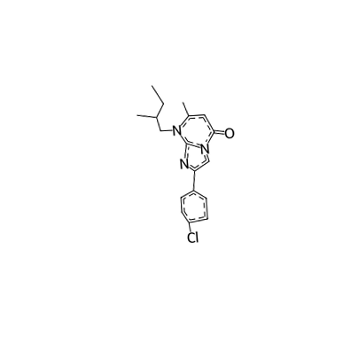 CCC(C)Cn1c(C)cc(=O)n2cc(-c3ccc(Cl)cc3)nc12